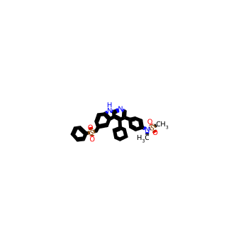 CN(c1ccc(-c2cnc3[nH]c4ccc(CS(=O)(=O)c5ccccc5)cc4c3c2C2=CCCCC2)cc1)S(C)(=O)=O